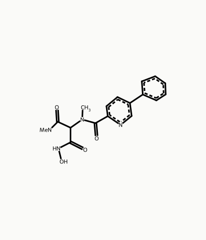 CNC(=O)C(C(=O)NO)N(C)C(=O)c1ccc(-c2ccccc2)cn1